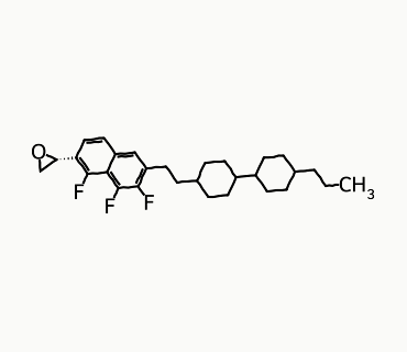 CCCC1CCC(C2CCC(CCc3cc4ccc([C@@H]5CO5)c(F)c4c(F)c3F)CC2)CC1